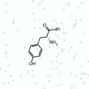 CC(C)C(=O)[C@H](N)Cc1ccc(O)cc1